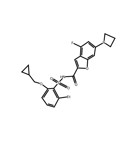 CCc1cccc(OCC2CC2)c1S(=O)(=O)NC(=O)c1cc2c(F)cc(N3CCC3)cc2o1